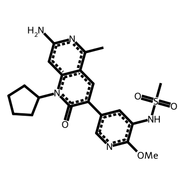 COc1ncc(-c2cc3c(C)nc(N)cc3n(C3CCCC3)c2=O)cc1NS(C)(=O)=O